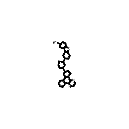 CC(C)c1ccc2sc3ccc(-c4cccc(-c5ccc6c(c5)c5ccccc5c5nccnc65)c4)cc3c2c1